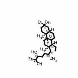 CC[C@H](C#N)[C@H](O)CC[C@@H](C)[C@H]1CC[C@H]2[C@@H]3CC[C@H]4C[C@](O)(CC)CC[C@]4(C)[C@H]3CC[C@]12C